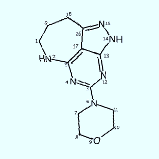 C1CNc2nc(N3CCOCC3)nc3[nH]nc(c23)C1